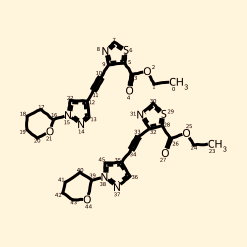 CCOC(=O)c1scnc1C#Cc1cnn(C2CCCCO2)c1.CCOC(=O)c1scnc1C#Cc1cnn(C2CCCCO2)c1